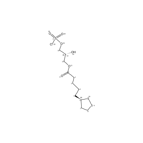 O=C(CCCC[C@@H]1CCSS1)OC[C@@H](O)COS(=O)(=O)Cl